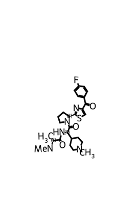 CN[C@@H](C)C(=O)N[C@H](C(=O)N1CCC[C@H]1c1nc(C(=O)c2ccc(F)cc2)cs1)C1CCN(C)CC1